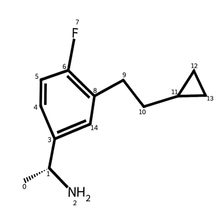 C[C@@H](N)c1ccc(F)c(CCC2CC2)c1